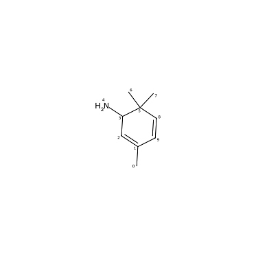 CC1=CC(N)C(C)(C)C=C1